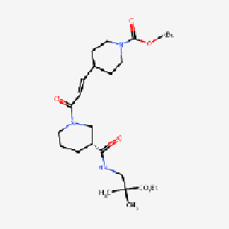 CCOC(=O)C(C)(C)CNC(=O)[C@@H]1CCCN(C(=O)/C=C/C2CCN(C(=O)OC(C)(C)C)CC2)C1